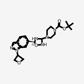 CC(C)(C)OC(=O)N1CCN(C2NO[C@@H](c3ccc4cnn(C5COC5)c4c3)N2)CC1